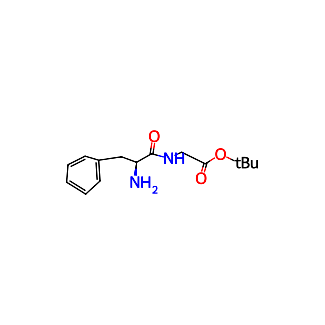 CC(C)(C)OC(=O)CNC(=O)[C@@H](N)Cc1ccccc1